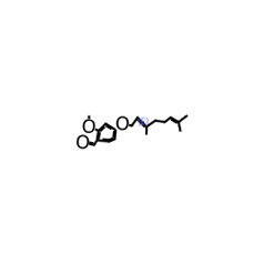 COc1cc(OC/C=C(\C)CCC=C(C)C)ccc1C=O